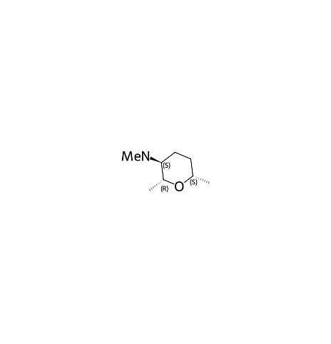 CN[C@H]1CC[C@H](C)O[C@@H]1C